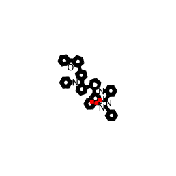 C1=CC2C(C(c3cccc4c3c3ccc(-c5cccc6c5oc5ccccc56)cc3n4-c3ccccc3)=C1)c1ccccc1N2c1ccccc1-c1nc(-c2ccccc2)nc(-c2ccccc2)n1